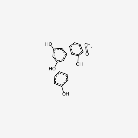 C=O.Oc1cccc(O)c1.Oc1ccccc1.Oc1ccccc1